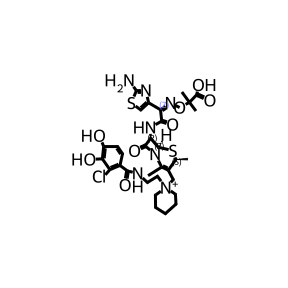 CC1=C(C[N+]2(CCNC(=O)c3ccc(O)c(O)c3Cl)CCCCC2)[C@H](C)S[C@@H]2[C@H](NC(=O)/C(=N\OC(C)(C)C(=O)O)c3csc(N)n3)C(=O)N12